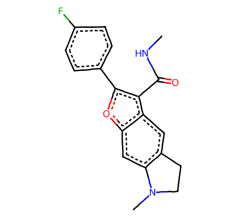 CNC(=O)c1c(-c2ccc(F)cc2)oc2cc3c(cc12)CCN3C